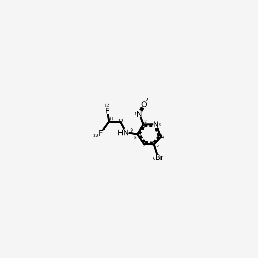 O=Nc1ncc(Br)cc1NCC(F)F